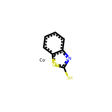 Sc1nc2ccccc2s1.[Co]